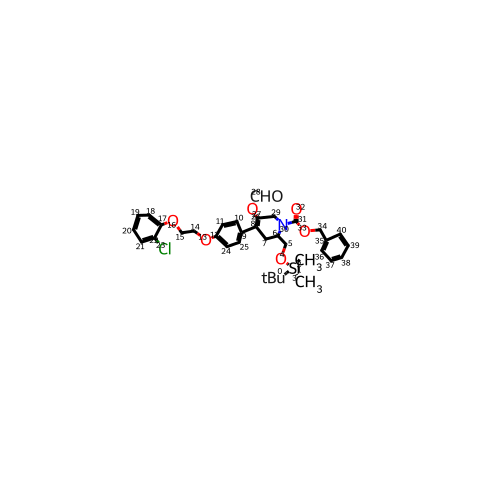 CC(C)(C)[Si](C)(C)OCC1CC(c2ccc(OCCOc3ccccc3Cl)cc2)=C(OC=O)CN1C(=O)OCc1ccccc1